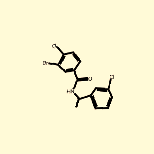 CC(NC(=O)c1ccc(Cl)c(Br)c1)c1cccc(Cl)c1